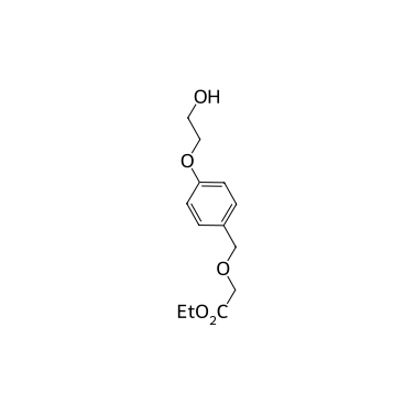 CCOC(=O)COCc1ccc(OCCO)cc1